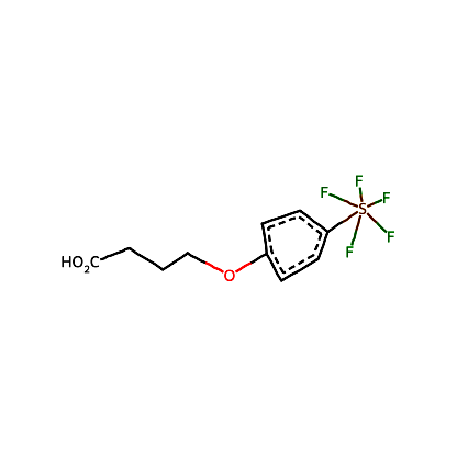 O=C(O)CCCOc1ccc(S(F)(F)(F)(F)F)cc1